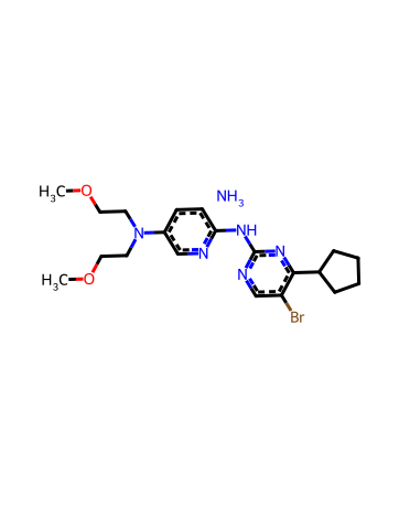 COCCN(CCOC)c1ccc(Nc2ncc(Br)c(C3CCCC3)n2)nc1.N